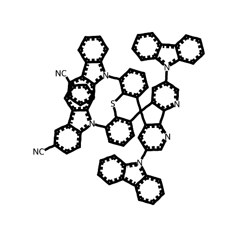 N#Cc1ccc2c(c1)c1cc(C#N)ccc1n2-c1cccc2c1Sc1c(-n3c4ccccc4c4ccccc43)cccc1C21c2cc(-n3c4ccccc4c4ccccc43)cnc2-c2ncc(-n3c4ccccc4c4ccccc43)cc21